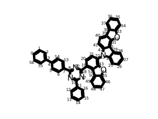 c1ccc(-c2ccc(-c3nc(-c4ccccc4)nc(-c4ccc(-n5c6ccccc6c6c7oc8ccccc8c7ccc65)c5oc6ccccc6c45)n3)cc2)cc1